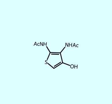 CC(=O)Nc1scc(O)c1NC(C)=O